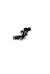 CC(C)(C)OC(=O)C1CC(NCc2ccc(OC(F)(F)F)cc2)(C(=O)O)CN1C(=O)OCC1c2ccccc2-c2ccccc21